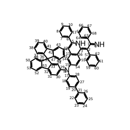 N=C(/C(=C1\NC(c2ccccc2)=Cc2cc(N(c3ccc(-c4ccccc4)cc3)c3ccc4c(c3)C3(c5ccccc5-c5ccccc53)c3ccccc3-4)ccc21)c1ccccc1)c1ccccc1